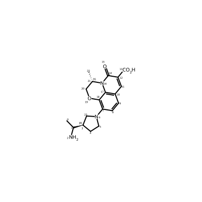 CC(N)[C@@H]1CCN(c2ccc3cc(C(=O)O)c(=O)n4c3c2OC[C@@H]4C)C1